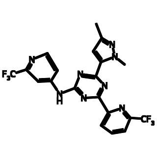 Cc1cc(-c2nc(Nc3ccnc(C(F)(F)F)c3)nc(-c3cccc(C(F)(F)F)n3)n2)n(C)n1